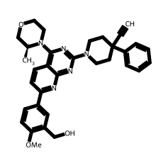 C#CC1(c2ccccc2)CCN(c2nc(N3CCOC[C@@H]3C)c3ccc(-c4ccc(OC)c(CO)c4)nc3n2)CC1